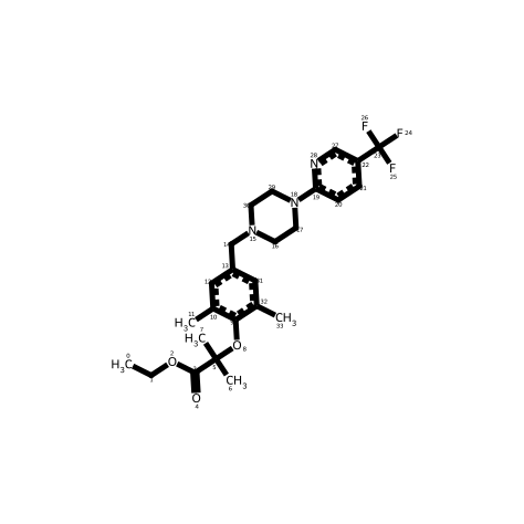 CCOC(=O)C(C)(C)Oc1c(C)cc(CN2CCN(c3ccc(C(F)(F)F)cn3)CC2)cc1C